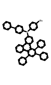 CC(C)(C)c1ccc(N(c2ccc(-c3ccccc3)cc2)c2ccc3c(c2)c2ccccc2c2c(-c4ccccc4)cc(-c4ccccc4)c(-c4ccccc4)c32)cc1